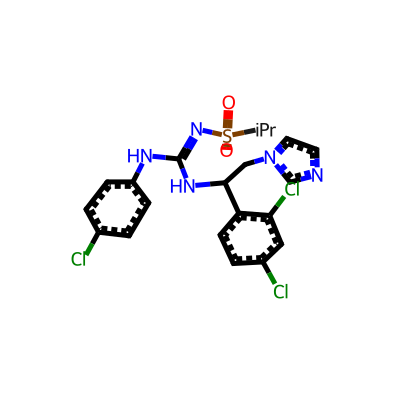 CC(C)S(=O)(=O)/N=C(/Nc1ccc(Cl)cc1)NC(Cn1ccnc1)c1ccc(Cl)cc1Cl